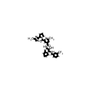 Cc1cc(C(=O)N[C@@H](Cc2ccccc2)[C@H](O)CNCc2cccc(C(F)(F)F)c2)cc(C(=O)N2CCCC2c2nc(C)cs2)n1